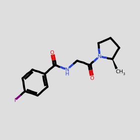 C[C@@H]1CCCN1C(=O)CNC(=O)c1ccc(I)cc1